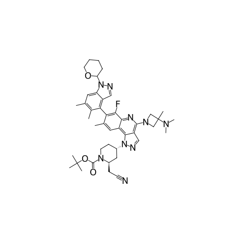 Cc1cc2c(cnn2C2CCCCO2)c(-c2c(C)cc3c(nc(N4CC(C)(N(C)C)C4)c4cnn([C@H]5CCN(C(=O)OC(C)(C)C)[C@H](CC#N)C5)c43)c2F)c1C